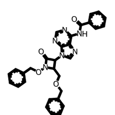 O=C(Nc1ncnc2c1ncn2C1C(=O)N(OCc2ccccc2)C1COCc1ccccc1)c1ccccc1